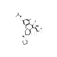 Cc1cc(NC(=O)C(C)C)cc(C)c1-c1c(C2=CC[C@@H](C(=O)N3CCCC3)CC2)c2c(N)ncnc2n1C